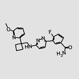 COc1cccc(C2(CNc3ccc(-c4cc(C(N)=O)ccc4F)nn3)CCC2)n1